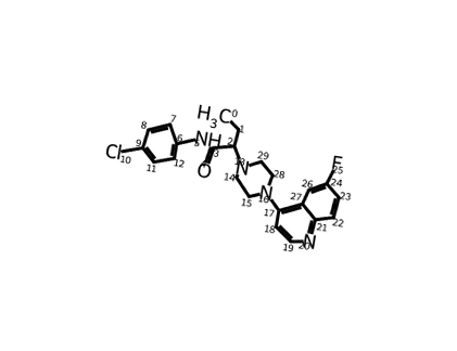 CCC(C(=O)Nc1ccc(Cl)cc1)N1CCN(c2ccnc3ccc(F)cc23)CC1